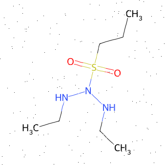 CCCS(=O)(=O)N(NCC)NCC